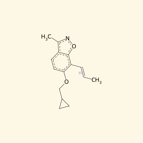 C/C=C/c1c(OCC2CC2)ccc2c(C)noc12